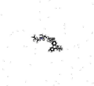 CCN(CCOC(=O)NS(=O)(=O)c1ccc(-n2nc(C(F)(F)F)cc2-c2ccc(C)cc2)cc1)/[N+]([O-])=N/OC(C)OC(=O)C(C)C